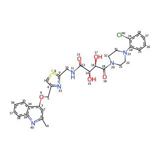 Cc1cc(OCc2csc(CNC(=O)[C@H](O)[C@@H](O)C(=O)N3CCN(c4ccccc4Cl)CC3)n2)c2ccccc2n1